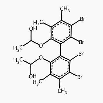 Cc1c(C)c(OC(C)O)c(-c2c(Br)c(Br)c(C)c(C)c2OC(C)O)c(Br)c1Br